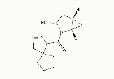 CC(C(=O)N1[C@H](C#N)C[C@@H]2C[C@@H]21)C1(CO)CCCC1